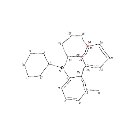 Cc1cccc(P(C2CCCCC2)C2CCCCC2)c1-c1ccccc1